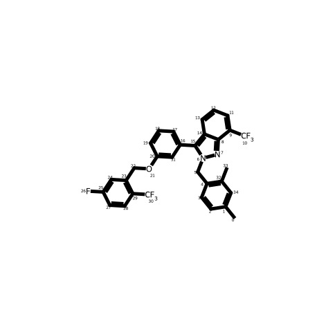 Cc1ccc(Cn2nc3c(C(F)(F)F)cccc3c2-c2cccc(OCc3cc(F)ccc3C(F)(F)F)c2)c(C)c1